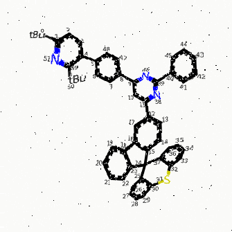 CC(C)(C)c1ccc(-c2ccc(-c3cc(-c4ccc5c(c4)-c4ccccc4C54c5ccccc5Sc5ccccc54)nc(-c4ccccc4)n3)cc2)c(C(C)(C)C)n1